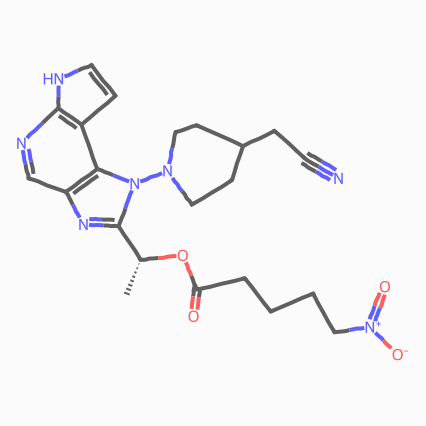 C[C@@H](OC(=O)CCCC[N+](=O)[O-])c1nc2cnc3[nH]ccc3c2n1N1CCC(CC#N)CC1